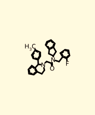 Cc1ccc(C2c3ccccc3CCN2CC(=O)N(Cc2ccccc2F)C2Cc3ccccc3C2)cc1